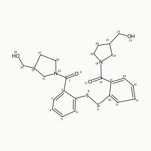 O=C(c1ccccc1SSc1ccccc1C(=O)N1CCC(CO)C1)N1CCC(CO)C1